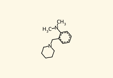 CN(C)c1ccccc1CN1CCCCC1